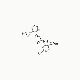 COc1ccc(Cl)cc1NC(=O)COc1ncccc1C(=O)O